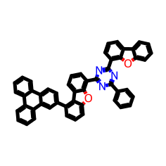 c1ccc(-c2nc(-c3cccc4c3oc3ccccc34)nc(-c3cccc4c3oc3cccc(-c5ccc6c7ccccc7c7ccccc7c6c5)c34)n2)cc1